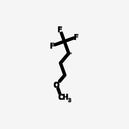 COCC[CH]C(F)(F)F